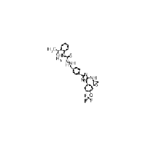 CC(C)c1ccccc1NC(=S)NNCc1ccc(-c2nc(NC3CSC3)n(-c3ccc(OC(F)(F)F)cc3)n2)cc1